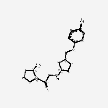 N#Cc1ccc(OC[C@H]2CC[C@@H](NCC(=O)N3CCC[C@H]3C#N)C2)cc1